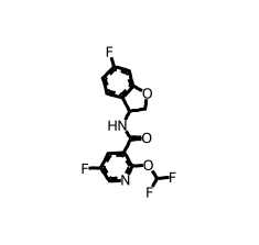 O=C(NC1COc2cc(F)ccc21)c1cc(F)cnc1OC(F)F